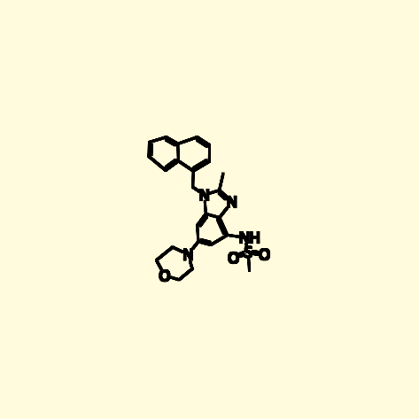 Cc1nc2c(NS(C)(=O)=O)cc(N3CCOCC3)cc2n1Cc1cccc2ccccc12